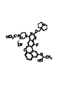 CC(O)Oc1cc(-c2c(F)cc3c(N4CCN(C(=O)O)[C@@H](CC#N)C4)nc(OCC45CCCN4CCC5)nc3c2F)c2c(Cl)cccc2c1